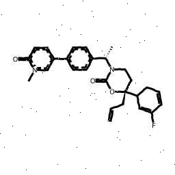 C=CC[C@]1(C2C=C(F)C=CC2)CCN([C@@H](C)c2ccc(-c3ccc(=O)n(C)c3)cc2)C(=O)O1